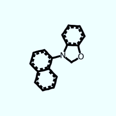 c1ccc2c(c1)OCN2c1cccc2ccccc12